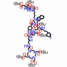 COC(=O)C(CCCCNC(=O)[C@H](Cc1ccc2ccccc2c1)NC(=O)C1CCC(CNC(=O)C(CCCCNC(=O)CN2CCN(CC(=O)OC(C)(C)C)CCN(CC(=O)OC(C)(C)C)CCN(CC(=O)OC(C)(C)C)CC2)NC(=O)CC(NC(=O)CC(NC(=O)CCCc2ccc(I)cc2)C(=O)OC(C)(C)C)C(=O)OC(C)(C)C)CC1)NC(=O)N[C@@H](CCC(=O)OC(C)(C)C)C(=O)OC(C)(C)C